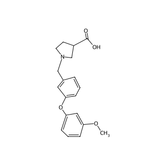 COc1cccc(Oc2cccc(CN3CCC(C(=O)O)C3)c2)c1